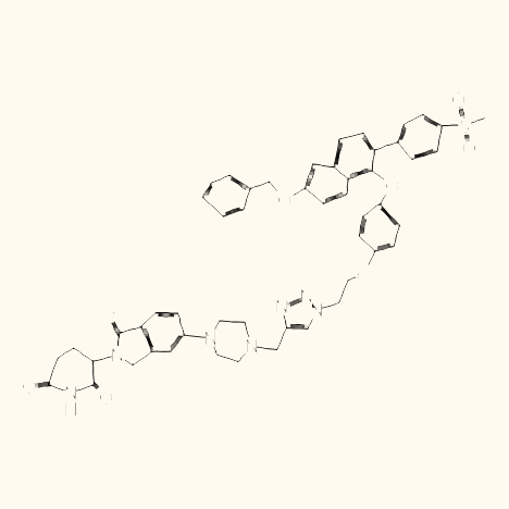 CS(=O)(=O)c1ccc(-c2ccc3cc(OCc4ccccc4)ccc3c2Oc2ccc(OCCn3cc(CN4CCN(c5ccc6c(c5)CN(C5CCC(=O)NC5=O)C6=O)CC4)nn3)cc2)cc1